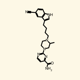 CC1CN(c2nccc(C(N)=O)n2)CCN1CCCCc1c[nH]c2ccc(C#N)cc12